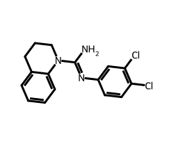 NC(=Nc1ccc(Cl)c(Cl)c1)N1CCCc2ccccc21